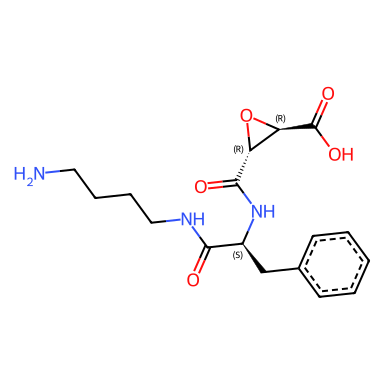 NCCCCNC(=O)[C@H](Cc1ccccc1)NC(=O)[C@@H]1O[C@H]1C(=O)O